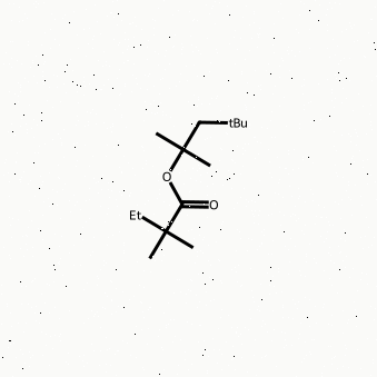 CCC(C)(C)C(=O)OC(C)(C)CC(C)(C)C